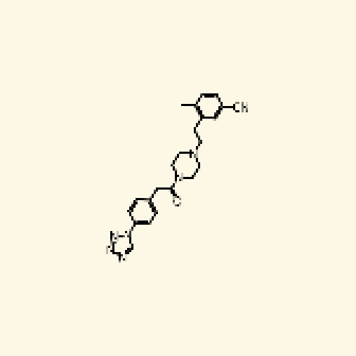 Cc1ccc(C#N)cc1CCN1CCN(C(=O)Cc2ccc(-n3cnnn3)cc2)CC1